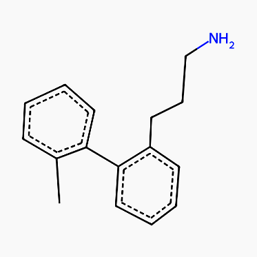 Cc1ccccc1-c1ccccc1CCCN